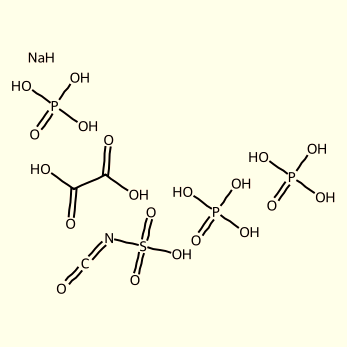 O=C(O)C(=O)O.O=C=NS(=O)(=O)O.O=P(O)(O)O.O=P(O)(O)O.O=P(O)(O)O.[NaH]